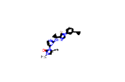 CC(C)[C@H]1CN(C)C(=O)N1c1ccnc(NC2(c3ncn(-c4cccc(C5CC5)c4)c3Br)CC2)n1